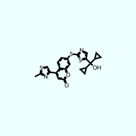 Cc1nc(-c2cc(=O)oc3cc(Sc4ncc(C(O)(C5CC5)C5CC5)s4)ccc23)cs1